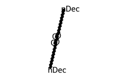 CCCCCCCCCCCCCCCCCCCCCCCCCCOC(=O)CCOC(=O)CCCCCCCCCCCCCCCCCCCCCCCCCC